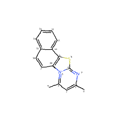 Cc1cc(C)[n+]2c(n1)sc1c3ccccc3ccc12